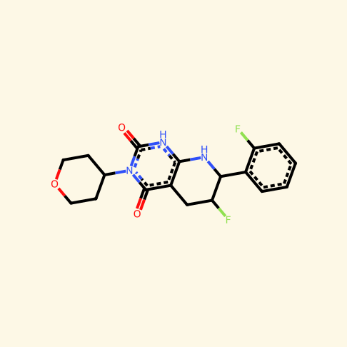 O=c1[nH]c2c(c(=O)n1C1CCOCC1)CC(F)C(c1ccccc1F)N2